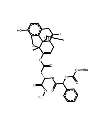 CCCCOC(=O)[C@H](CC(=O)OC1=CC[C@@]2(O)[C@H]3Cc4ccc(O)c5c4[C@@]2(CCN3C)[C@H]1O5)NC(=O)[C@@H](OC(=O)OC(C)(C)C)c1ccccc1